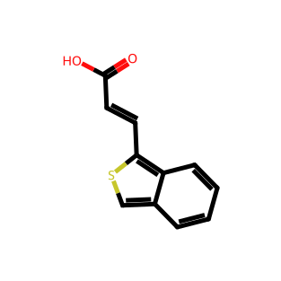 O=C(O)C=Cc1scc2ccccc12